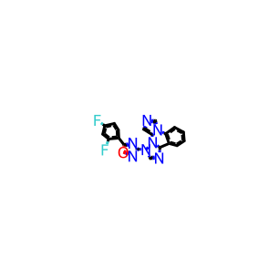 Fc1ccc(-c2nc(N3C=NC4c5ccccc5-n5cncc5N43)no2)c(F)c1